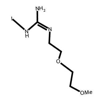 COCCOCCN=C(N)NI